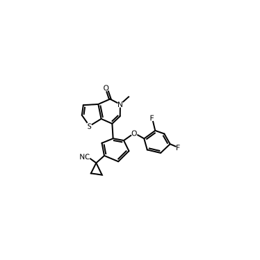 Cn1cc(-c2cc(C3(C#N)CC3)ccc2Oc2ccc(F)cc2F)c2sccc2c1=O